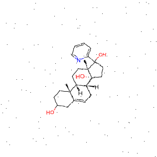 C[C@]12CCC(O)CC1=CC[C@@H]1[C@H]2CC[C@]2(C)C(O)(c3ccccn3)CC[C@@]12O